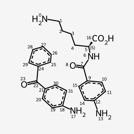 NCCCC[C@H](NC(=O)c1ccc(N)cc1)C(=O)O.Nc1ccc(C(=O)c2ccccc2)cc1